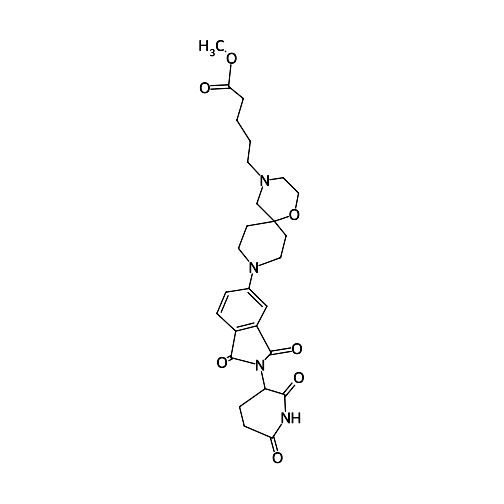 COC(=O)CCCCN1CCOC2(CCN(c3ccc4c(c3)C(=O)N(C3CCC(=O)NC3=O)C4=O)CC2)C1